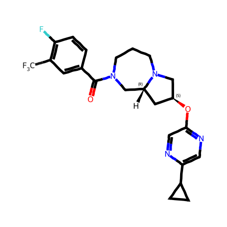 O=C(c1ccc(F)c(C(F)(F)F)c1)N1CCCN2C[C@@H](Oc3cnc(C4CC4)cn3)C[C@@H]2C1